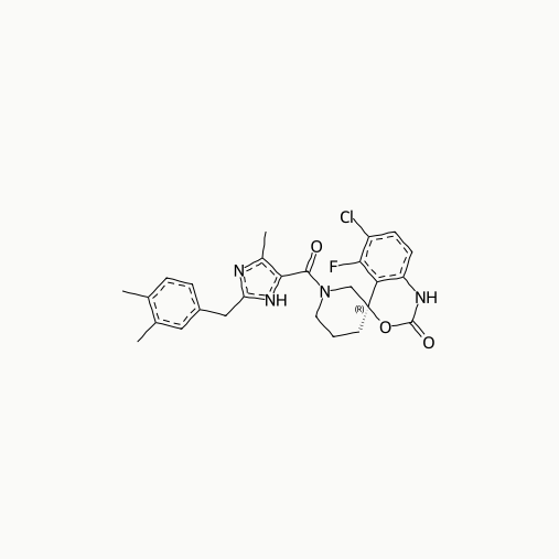 Cc1ccc(Cc2nc(C)c(C(=O)N3CCC[C@@]4(C3)OC(=O)Nc3ccc(Cl)c(F)c34)[nH]2)cc1C